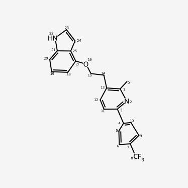 Cc1nc(-c2ccc(C(F)(F)F)cc2)ccc1CCOc1cccc2[nH]c[c]c12